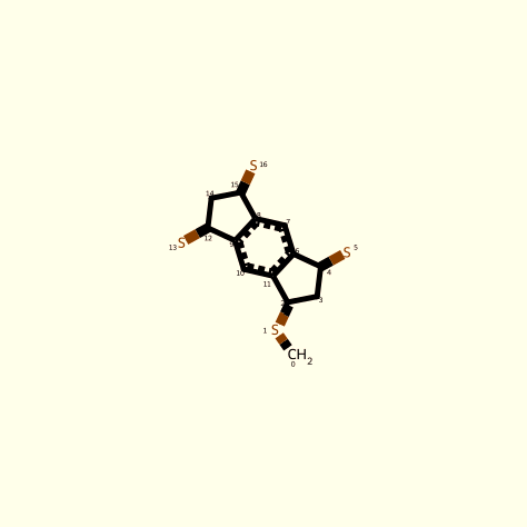 C=S=C1CC(=S)c2cc3c(cc21)C(=S)CC3=S